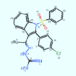 CCCC/C(=N\NC(=N)N)c1c(-c2ccc(Cl)cc2)n(S(=O)(=O)c2ccccc2)c2ccccc12